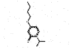 CCCCOc1ccn(C(C)C)c(=O)c1